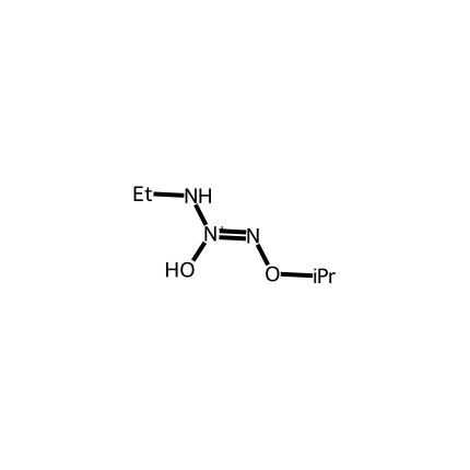 CCN/[N+](O)=N/OC(C)C